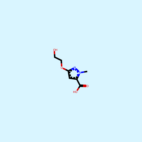 Cn1nc(OCCO)cc1C(=O)O